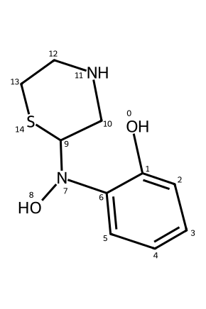 Oc1ccccc1N(O)C1CNCCS1